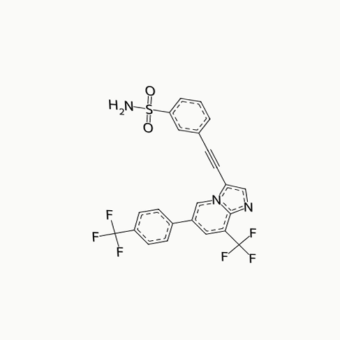 NS(=O)(=O)c1cccc(C#Cc2cnc3c(C(F)(F)F)cc(-c4ccc(C(F)(F)F)cc4)cn23)c1